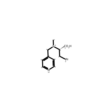 CC(C)C[C@@H](C(=O)O)N(C)Cc1ccncc1